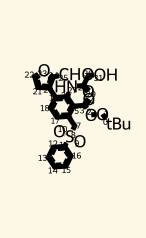 CC(C)(C)OOC(=O)c1c(CS(=O)(=O)c2ccccc2)ccc(-c2ccoc2C=O)c1NC(=O)CO